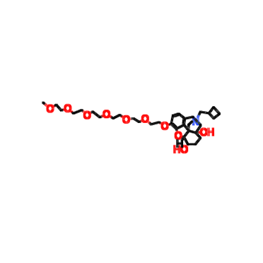 COCCOCCOCCOCCOCCOCCOc1ccc2c3c1O[C@H]1[C@@H](O)CC[C@@]4(O)C(C2)N(CC2CCC2)CC[C@]314